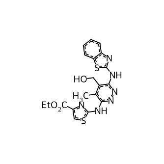 CCOC(=O)c1csc(Nc2nnc(Nc3nc4ccccc4s3)c(CO)c2C)n1